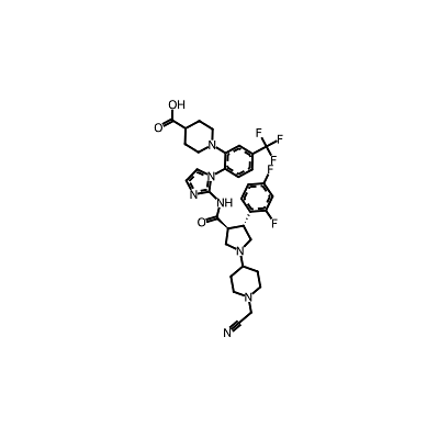 N#CCN1CCC(N2C[C@@H](C(=O)Nc3nccn3-c3ccc(C(F)(F)F)cc3N3CCC(C(=O)O)CC3)[C@H](c3ccc(F)cc3F)C2)CC1